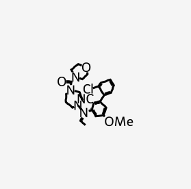 CC=[N+](c1cc(OC)cc(-c2ccccc2Cl)c1C#N)N1CCCN(C(=O)N2CCOCC2)CC1